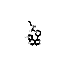 CCCNC(=O)N1CCCC(c2nncc3cnc4[nH]ccc4c23)C1